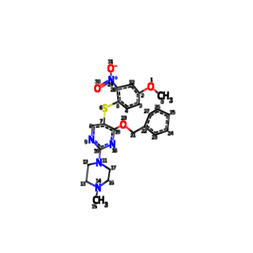 COc1ccc(Sc2cnc(N3CCN(C)CC3)nc2OCc2ccccc2)c([N+](=O)[O-])c1